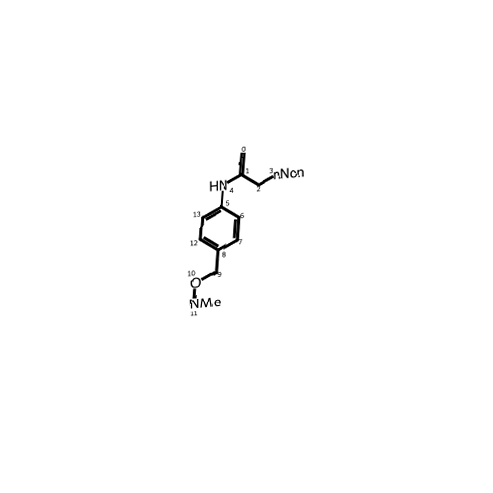 C=C(CCCCCCCCCC)Nc1ccc(CONC)cc1